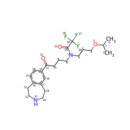 CC(C)OCCCN(CCCC(=O)c1ccc2c(c1)CCNCC2)C(=O)C(F)(F)F